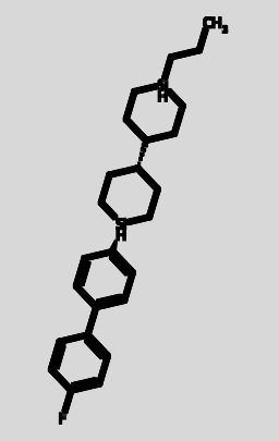 CCC[SiH]1CCC([C@H]2CC[Si@H](c3ccc(-c4ccc(F)cc4)cc3)CC2)CC1